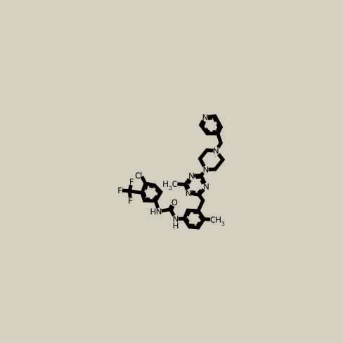 Cc1nc(Cc2cc(NC(=O)Nc3ccc(Cl)c(C(F)(F)F)c3)ccc2C)nc(N2CCN(Cc3ccncc3)CC2)n1